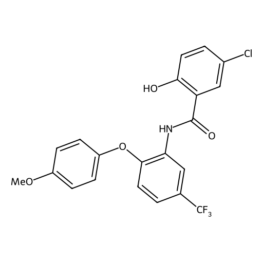 COc1ccc(Oc2ccc(C(F)(F)F)cc2NC(=O)c2cc(Cl)ccc2O)cc1